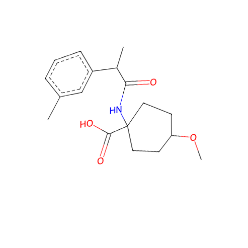 COC1CCC(NC(=O)C(C)c2cccc(C)c2)(C(=O)O)CC1